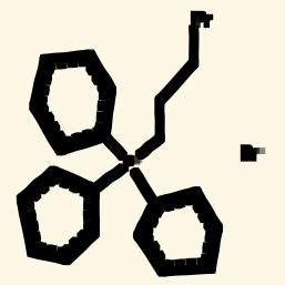 CC(C)CCC[P+](c1ccccc1)(c1ccccc1)c1ccccc1.[Br-]